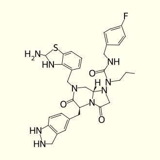 CCCN(C(=O)NCc1ccc(F)cc1)N1CC(=O)N2[C@@H](Cc3ccc4c(c3)CNN4)C(=O)N(Cc3cccc4c3NC(N)S4)C[C@@H]21